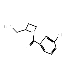 NCC1CCN1C(=O)c1cccc(C(F)(F)F)c1